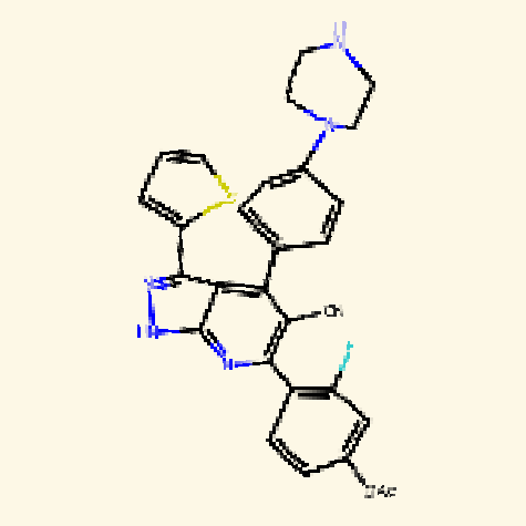 CC(=O)Oc1ccc(-c2nc3[nH]nc(-c4cccs4)c3c(-c3ccc(N4CCNCC4)cc3)c2C#N)c(F)c1